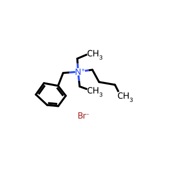 CCCC[N+](CC)(CC)Cc1ccccc1.[Br-]